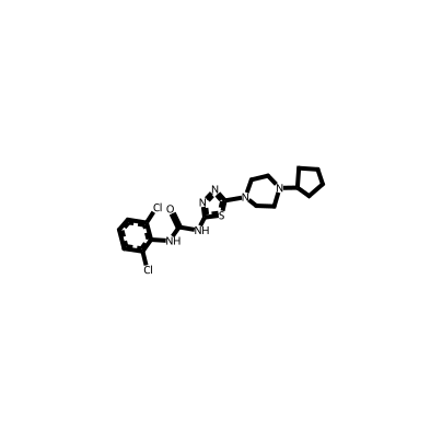 O=C(Nc1nnc(N2CCN(C3CCCC3)CC2)s1)Nc1c(Cl)cccc1Cl